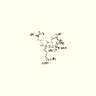 CCCN(CCC)CCCC(CCCN(CCC)CCC)(CCCN(CCC)CCC)CC[Si](OC)(OC)OC